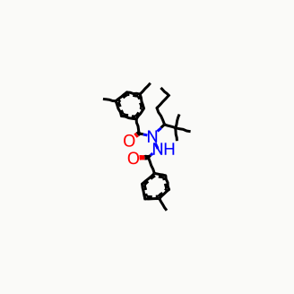 CCCC(N(NC(=O)c1ccc(C)cc1)C(=O)c1cc(C)cc(C)c1)C(C)(C)C